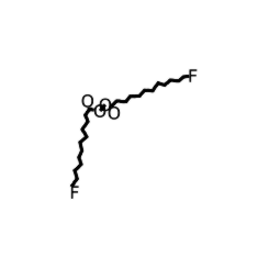 O=C(CCCCCCCCCCCF)OOC(=O)CCCCCCCCCCCF